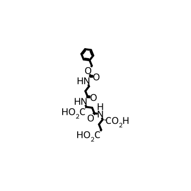 O=C(O)CC[C@H](NC(=O)C[C@@H](NC(=O)CCNC(=O)OCc1ccccc1)C(=O)O)C(=O)O